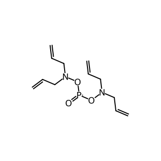 C=CCN(CC=C)O[P](=O)ON(CC=C)CC=C